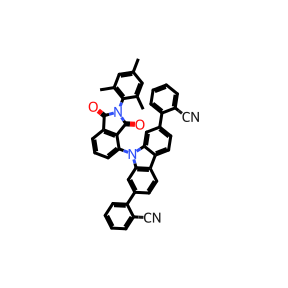 Cc1cc(C)c(N2C(=O)c3cccc(-n4c5cc(-c6ccccc6C#N)ccc5c5ccc(-c6ccccc6C#N)cc54)c3C2=O)c(C)c1